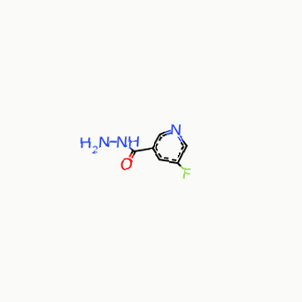 NNC(=O)c1cncc(F)c1